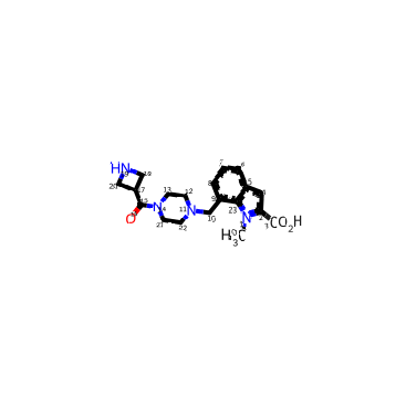 Cn1c(C(=O)O)cc2cccc(CN3CCN(C(=O)C4CNC4)CC3)c21